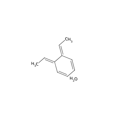 CC=c1ccccc1=CC.O